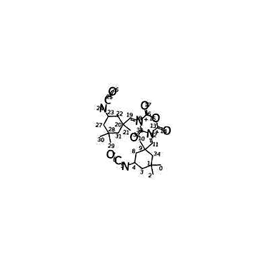 CC1(C)CC(N=C=O)CC(C)(C=[N+]2C(=O)OC(=O)[N+](=CC3(C)CC(N=C=O)CC(C)(C)C3)C2=O)C1